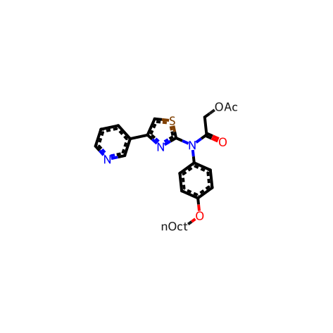 CCCCCCCCOc1ccc(N(C(=O)COC(C)=O)c2nc(-c3cccnc3)cs2)cc1